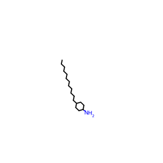 CCCCCCCCCCCCC1CCC(N)CC1